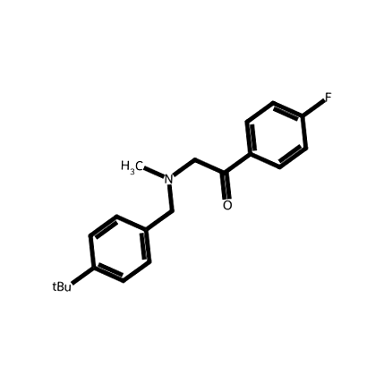 CN(CC(=O)c1ccc(F)cc1)Cc1ccc(C(C)(C)C)cc1